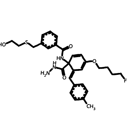 Cc1ccc(C=C2C=C(OCCCCF)C=CC2(NC(=O)c2cccc(CSCCO)c2)C(=O)NN)cc1